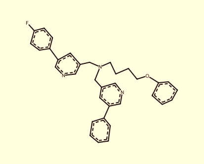 Fc1ccc(-c2cncc(CN(CCCCOc3ccccc3)Cc3cncc(-c4ccccc4)c3)c2)cc1